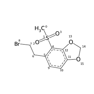 CS(=O)(=O)c1c(CCBr)ccc2c1OCO2